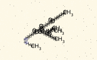 CCCCC/C=C\C/C=C\CCCCCCCC(=O)OCC(COC(=O)CCCCCCCC(=O)OCCCCCCCCCCC)OC(=O)CCCC(CCCCCCCC)OC(=O)NCCN(C)CC